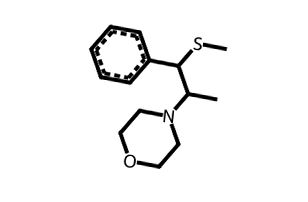 CSC(c1ccccc1)C(C)N1CCOCC1